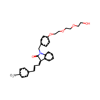 O=C1C(=CC=Cc2ccc([N+](=O)[O-])cc2)c2ccccc2N1Cc1ccc(OCCOCCOCCO)cc1